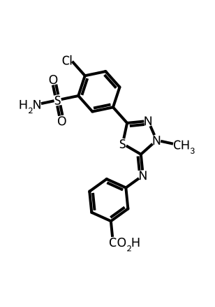 Cn1nc(-c2ccc(Cl)c(S(N)(=O)=O)c2)sc1=Nc1cccc(C(=O)O)c1